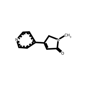 CN1CC(c2ccncc2)=CC1=O